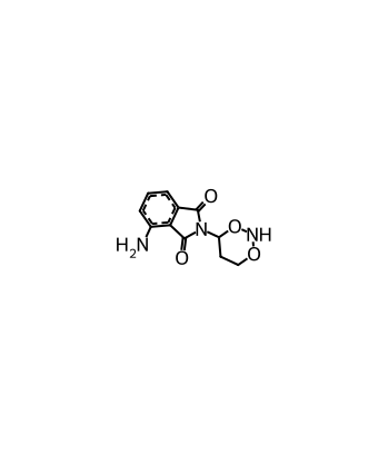 Nc1cccc2c1C(=O)N(C1CCONO1)C2=O